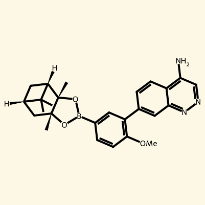 COc1ccc(B2O[C@]3(C)C[C@@H]4C[C@@H](C4(C)C)[C@]3(C)O2)cc1-c1ccc2c(N)cnnc2c1